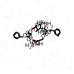 BB[C@@H]1O[C@@H]2COP(=O)(C(=O)OCc3ccccc3)O[C@@H]3[C@H](C)[C@@H](COP(=O)(C(=O)OCc4ccccc4)O[C@@H]1[C@@H]2C)O[C@H]3B